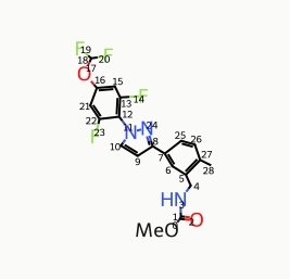 COC(=O)NCc1cc(-c2ccn(-c3c(F)cc(OC(F)F)cc3F)n2)ccc1C